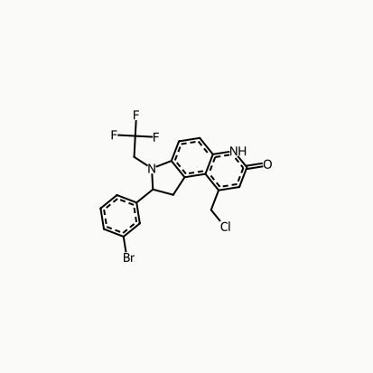 O=c1cc(CCl)c2c3c(ccc2[nH]1)N(CC(F)(F)F)C(c1cccc(Br)c1)C3